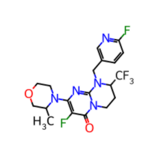 CC1COCCN1c1nc2n(c(=O)c1F)CCC(C(F)(F)F)N2Cc1ccc(F)nc1